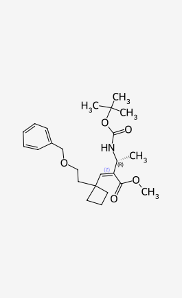 COC(=O)/C(=C\C1(CCOCc2ccccc2)CCC1)[C@@H](C)NC(=O)OC(C)(C)C